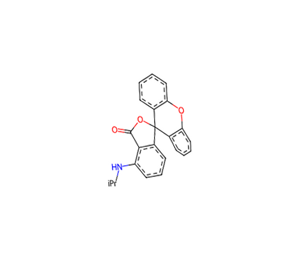 CC(C)Nc1cccc2c1C(=O)OC21c2ccccc2Oc2ccccc21